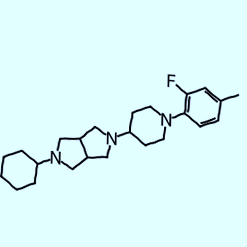 Cc1ccc(N2CCC(N3CC4CN(C5CCCCC5)CC4C3)CC2)c(F)c1